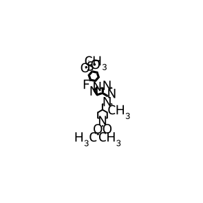 CCN(CC1CCN(C(=O)OC(C)C)CC1)c1ncnc2c1cnn2-c1ccc(S(C)(=O)=O)cc1F